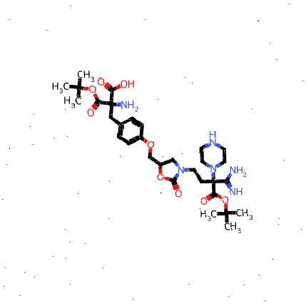 CC(C)(C)OC(=O)C(N)(Cc1ccc(OCC2CN(CCC(C(=N)N)(C(=O)OC(C)(C)C)N3CCNCC3)C(=O)O2)cc1)C(=O)O